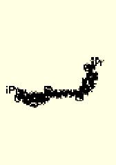 CC(C)CC(=O)c1ccc2c(c1)Cc1cc(C(=O)CCCCCCCCC(=O)c3ccc4c(c3)Cc3cc(C(=O)CC(C)C)ccc3S4)ccc1S2